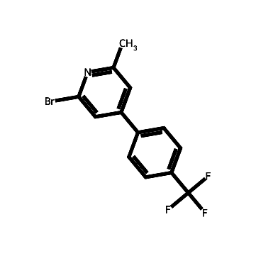 Cc1cc(-c2ccc(C(F)(F)F)cc2)cc(Br)n1